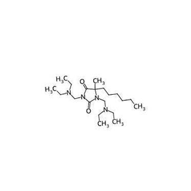 CCCCCCC1(C)C(=O)N(CN(CC)CC)C(=O)N1CN(CC)CC